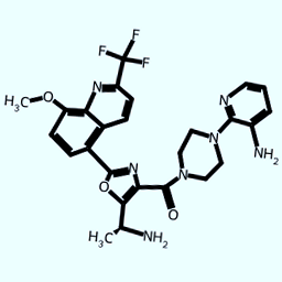 COc1ccc(-c2nc(C(=O)N3CCN(c4ncccc4N)CC3)c([C@H](C)N)o2)c2ccc(C(F)(F)F)nc12